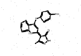 CC1=NNC(=O)C1=C1C=C(Sc2ccc(N)cc2)c2ccccc2N1